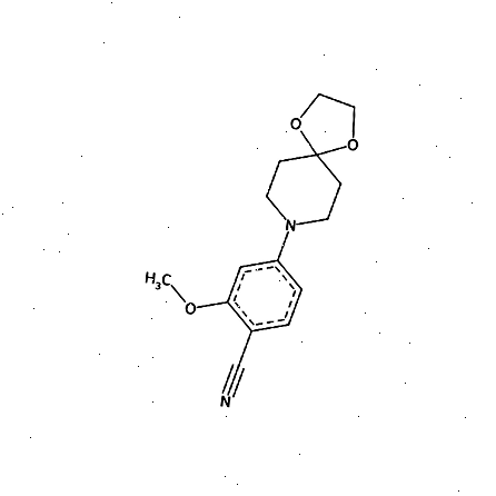 COc1cc(N2CCC3(CC2)OCCO3)ccc1C#N